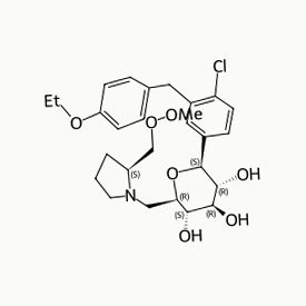 CCOc1ccc(Cc2cc([C@@H]3O[C@H](CN4CCC[C@H]4COOC)[C@@H](O)[C@H](O)[C@H]3O)ccc2Cl)cc1